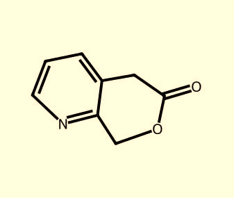 O=C1Cc2cccnc2CO1